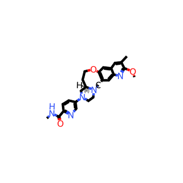 CNC(=O)c1ccc(N2CCN3Cc4cc5nc(OC)c(C)cc5cc4OCC[C@@H]3C2)cn1